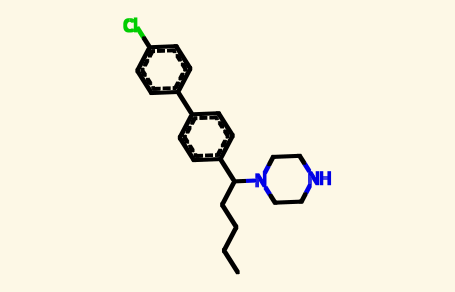 CCCCC(c1ccc(-c2ccc(Cl)cc2)cc1)N1CCNCC1